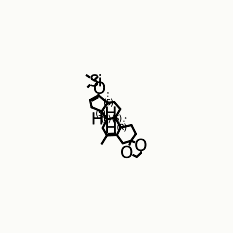 CC1=C2CC3(CC[C@]2(C)[C@H]2CC[C@]4(C)C(O[Si](C)(C)C)=CC[C@H]4[C@@H]2C1)OCCO3